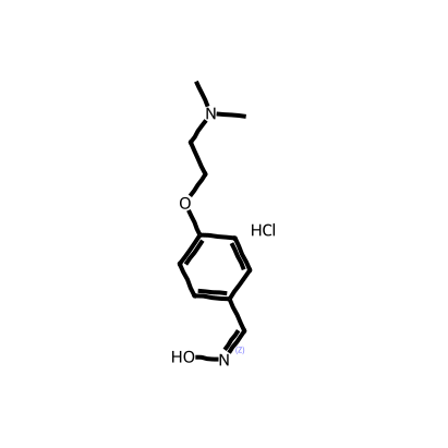 CN(C)CCOc1ccc(/C=N\O)cc1.Cl